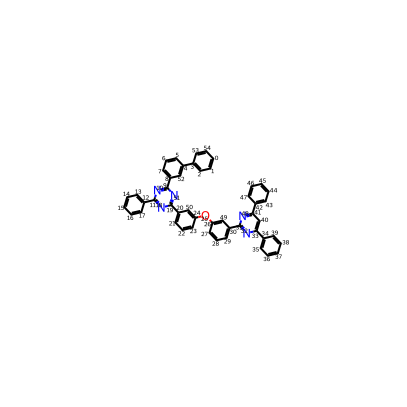 c1ccc(-c2cccc(-c3nc(-c4ccccc4)nc(-c4cccc(Oc5cccc(-c6nc(-c7ccccc7)cc(-c7ccccc7)n6)c5)c4)n3)c2)cc1